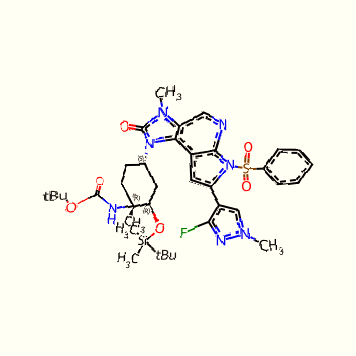 Cn1cc(-c2cc3c(ncc4c3n([C@H]3CC[C@@](C)(NC(=O)OC(C)(C)C)[C@H](O[Si](C)(C)C(C)(C)C)C3)c(=O)n4C)n2S(=O)(=O)c2ccccc2)c(F)n1